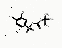 CC(C)(NC(=O)OS(=O)(=O)c1ccc(Cl)c(Cl)c1)C(=O)O